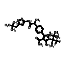 BC(B)(B)C(B)(n1nc(-c2ccc(C(C)C(=O)Nc3cc(CC(C)(C)C)no3)cc2)c(C(N)=O)c1N)C(F)(F)F